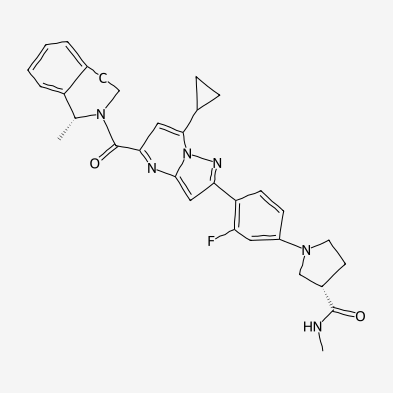 CNC(=O)[C@H]1CCN(c2ccc(-c3cc4nc(C(=O)N5CCc6ccccc6[C@H]5C)cc(C5CC5)n4n3)c(F)c2)C1